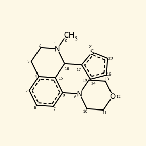 CN1CCc2cccc(N3CCOCC3)c2C1c1cccs1